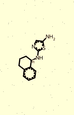 Nc1cnc(N[C@@H]2CCCc3ccccc32)s1